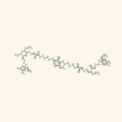 CCC(CC(C)C(=O)OCCC[Si](OC)(OC)OC)SCCOC(=O)NCCCCCCNC(=O)N(CCCCCCNC(=O)OCCSC(CC)C(=O)OCCC[Si](OC)(OC)OC)C(C)=O